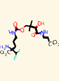 CC(C)(COC(=O)NCCCC(N)(C(=O)O)C(F)F)C(O)C(=O)NCCC(=O)O